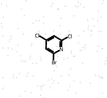 Clc1cc(Cl)nc(Br)c1